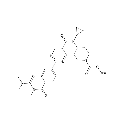 CN(C)C(=O)N(C)C(=O)c1ccc(-c2ncc(C(=O)N(C3CC3)C3CCN(C(=O)OC(C)(C)C)CC3)cn2)cc1